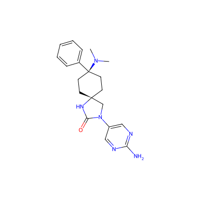 CN(C)[C@]1(c2ccccc2)CC[C@@]2(CC1)CN(c1cnc(N)nc1)C(=O)N2